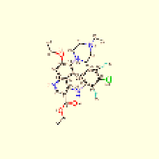 CCOC(=O)c1cnc2cc(OCC)c(N3CCN(CC)CC3)cc2c1Nc1ccc(F)c(Cl)c1F